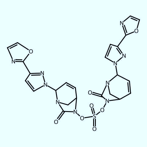 O=C1N2CC(C=CC2n2ccc(-c3ncco3)n2)N1OS(=O)(=O)ON1C(=O)N2CC1C=CC2n1ccc(-c2ncco2)n1